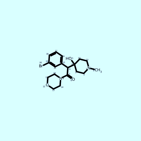 CN1CCC(O)(C(C(=O)N2CCOCC2)c2cccc(Br)c2)CC1